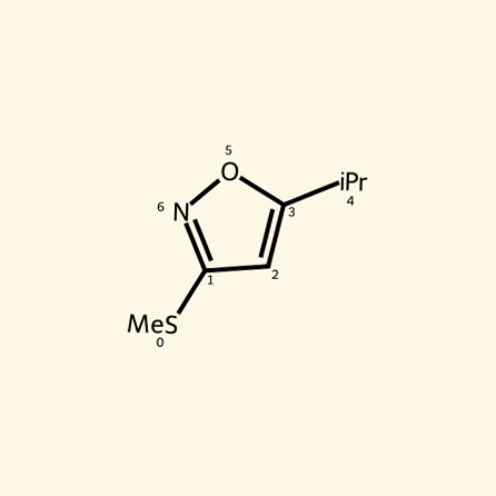 CSc1cc(C(C)C)on1